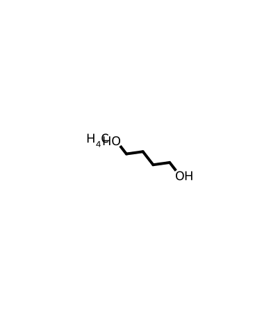 C.OCCCCO